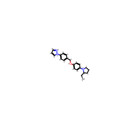 CC(=O)CC1CCCN1c1ccc(OCc2ccc(-n3cccn3)cc2)cc1